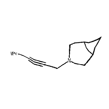 CC(C)C#CCN1CC2CC2C1